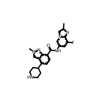 Cc1cn2cc(NC(=O)c3ccc(C4CCNCC4)c4cn(C)nc34)cc(F)c2n1